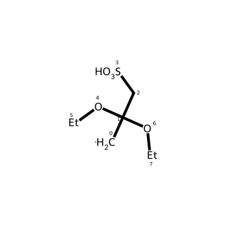 [CH2]C(CS(=O)(=O)O)(OCC)OCC